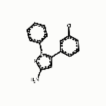 Nc1cc(-c2cccc(Cl)c2)n(-c2ccccc2)n1